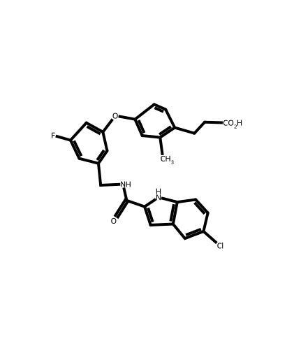 Cc1cc(Oc2cc(F)cc(CNC(=O)c3cc4cc(Cl)ccc4[nH]3)c2)ccc1CCC(=O)O